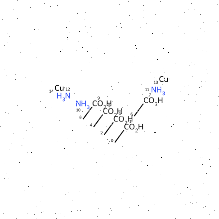 CC(=O)O.CC(=O)O.CC(=O)O.CC(=O)O.CC(=O)O.N.N.N.[Cu].[Cu]